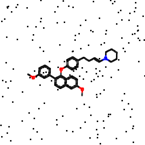 COc1cccc(-c2ccc3cc(OC)ccc3c2Oc2ccc(CC/C=C/N3CCCCC3)cc2)c1